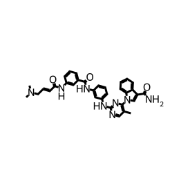 Cc1cnc(Nc2cccc(NC(=O)c3cccc(NC(=O)/C=C/CN(C)C)c3)c2)nc1-n1cc(C(N)=O)c2ccccc21